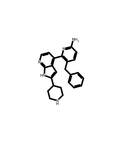 Nc1ccc(Cc2ccccc2)c(-c2ccnc3[nH]c(C4CCNCC4)cc23)n1